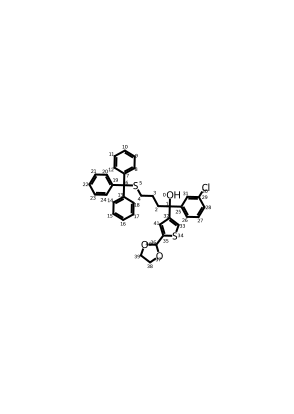 OC(CCCSC(c1ccccc1)(c1ccccc1)c1ccccc1)(c1cccc(Cl)c1)c1csc(C2OCCO2)c1